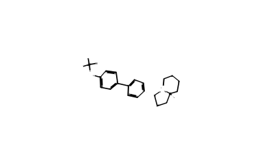 FC(F)(F)Oc1ccc(-c2ccc([C@H]3CC[C@H]4CCCCN43)cc2)cc1